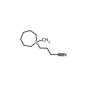 CS1(CCCC#N)CCCCCC1